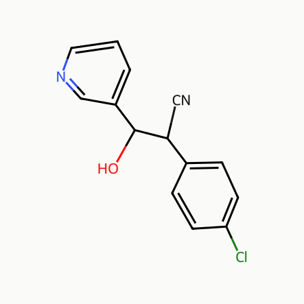 N#CC(c1ccc(Cl)cc1)C(O)c1cccnc1